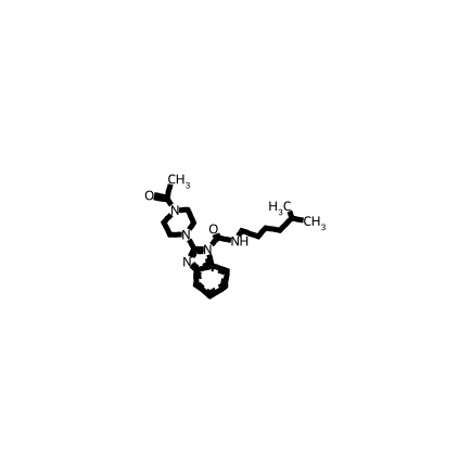 CC(=O)N1CCN(c2nc3ccccc3n2C(=O)NCCCCC(C)C)CC1